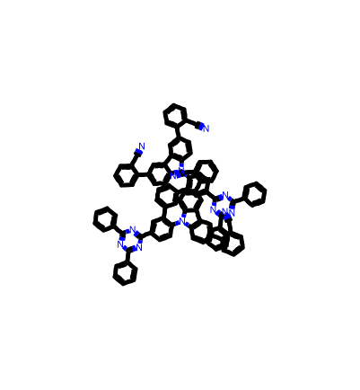 N#Cc1ccccc1-c1ccc2c(c1)c1cc(-c3ccccc3C#N)ccc1n2-c1ccc(-c2nc(-c3ccccc3)nc(-c3ccccc3)n2)cc1-c1cccc(-c2cc(-c3nc(-c4ccccc4)nc(-c4ccccc4)n3)ccc2-n2c3ccc(-c4ccccc4C#N)cc3c3cc(-c4ccccc4C#N)ccc32)c1